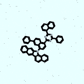 c1ccc(-c2ccc3c(-c4nc(-c5ccccc5)nc(-c5cccc6ccccc56)n4)ccc(-n4c5cc6ccccc6cc5c5ccc6ccccc6c54)c3c2)cc1